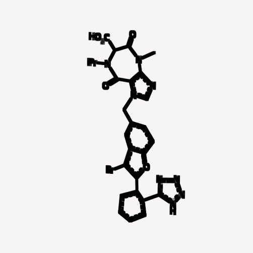 CC(C)N1C(=O)c2c(ncn2Cc2ccc3oc(-c4ccccc4-c4nnn[nH]4)c(Br)c3c2)N(C)C(=O)C1C(=O)O